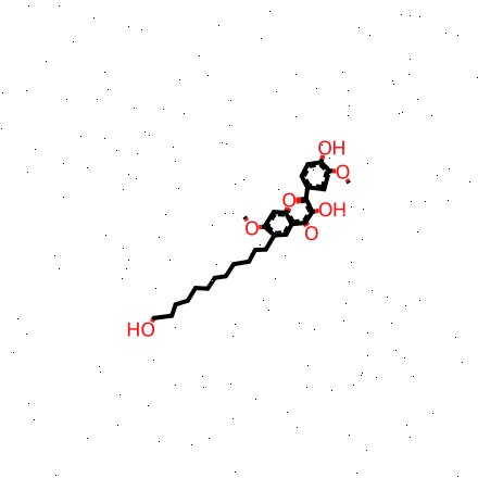 COc1cc(-c2oc3cc(OC)c(CCCCCCCCCCCCO)cc3c(=O)c2O)ccc1O